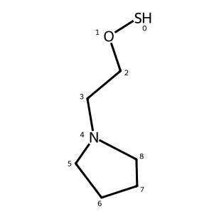 SOCCN1CCCC1